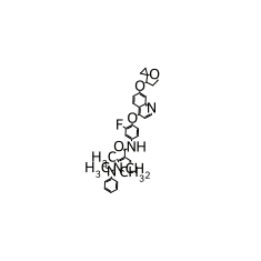 C=C/C(C(=O)Nc1ccc(Oc2ccnc3cc(OC4CCOC45CC5)ccc23)c(F)c1)=C(/C)N(C)N(C)c1ccccc1